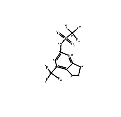 O=S(=O)(Oc1cc(C(F)(F)F)c2c(n1)CCC2)C(F)(F)F